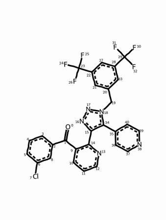 O=C(c1cccc(Cl)c1)c1cccnc1-c1nnn(Cc2cc(C(F)(F)F)cc(C(F)(F)F)c2)c1-c1ccncc1